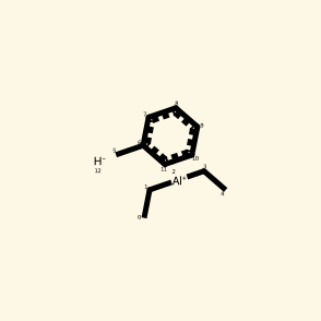 C[CH2][Al+][CH2]C.Cc1ccccc1.[H-]